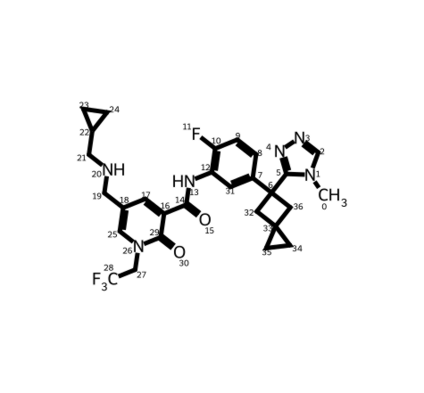 Cn1cnnc1C1(c2ccc(F)c(NC(=O)c3cc(CNCC4CC4)cn(CC(F)(F)F)c3=O)c2)CC2(CC2)C1